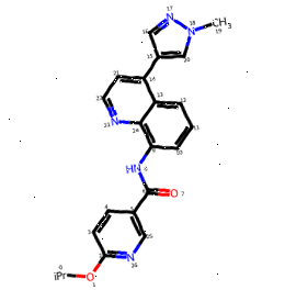 CC(C)Oc1ccc(C(=O)Nc2cccc3c(-c4cnn(C)c4)ccnc23)cn1